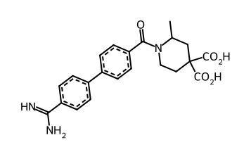 CC1CC(C(=O)O)(C(=O)O)CCN1C(=O)c1ccc(-c2ccc(C(=N)N)cc2)cc1